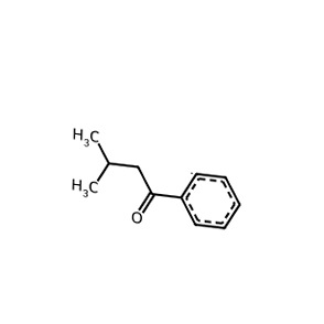 CC(C)CC(=O)c1[c]cccc1